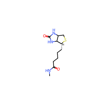 CNC(=O)CCCC[C@H]1SCC2NC(=O)NC21